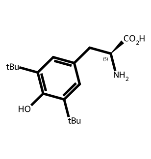 CC(C)(C)c1cc(C[C@H](N)C(=O)O)cc(C(C)(C)C)c1O